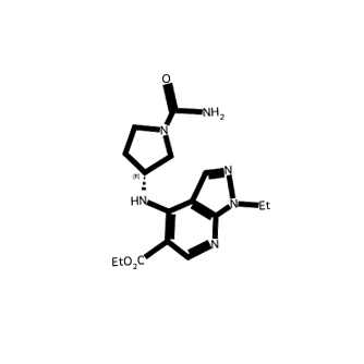 CCOC(=O)c1cnc2c(cnn2CC)c1N[C@@H]1CCN(C(N)=O)C1